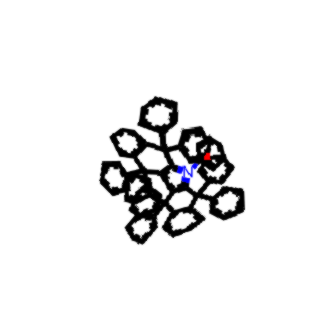 c1ccc(-n2c3c(c4c2C(c2ccccc2)(c2ccccc2)c2ccccc2C4(c2ccccc2)c2ccccc2)C(c2ccccc2)(c2ccccc2)c2ccccc2C3(c2ccccc2)c2ccccc2)cc1